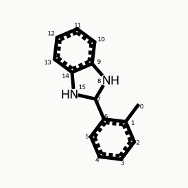 Cc1ccccc1C1Nc2ccccc2N1